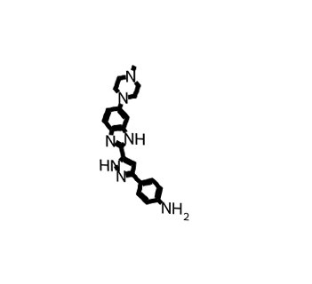 CN1CCN(c2ccc3nc(-c4cc(-c5ccc(N)cc5)n[nH]4)[nH]c3c2)CC1